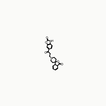 O=C(CCN1CCC2(CC1)OC(=O)C1C=CC=CC12)c1ccc2[nH]c(=O)oc2c1